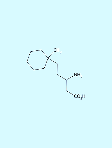 CC1(CCC(N)CC(=O)O)CCCCC1